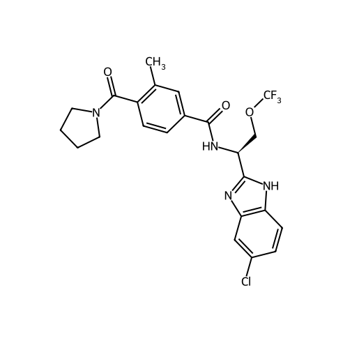 Cc1cc(C(=O)N[C@@H](COC(F)(F)F)c2nc3cc(Cl)ccc3[nH]2)ccc1C(=O)N1CCCC1